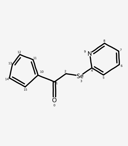 O=C(C[Se]c1ccccn1)c1ccccc1